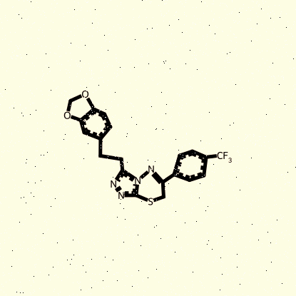 FC(F)(F)c1ccc(C2=Nn3c(CCc4ccc5c(c4)OCO5)nnc3SC2)cc1